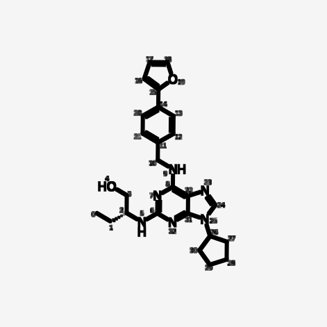 CC[C@H](CO)Nc1nc(NCc2ccc(-c3ccco3)cc2)c2ncn(C3CCCC3)c2n1